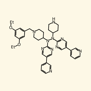 CCOc1cc(CN2CCC(N(c3ncc(-c4cccnc4)cn3)N(c3ncc(-c4cccnc4)cn3)C3CCNCC3)CC2)cc(OCC)c1